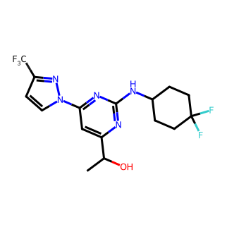 CC(O)c1cc(-n2ccc(C(F)(F)F)n2)nc(NC2CCC(F)(F)CC2)n1